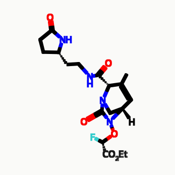 CCOC(=O)[C@H](F)ON1C(=O)N2C[C@@H]1C=C(C)[C@H]2C(=O)NCC[C@@H]1CCC(=O)N1